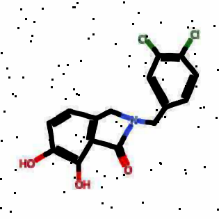 O=C1c2c(ccc(O)c2O)CN1Cc1ccc(Cl)c(Cl)c1